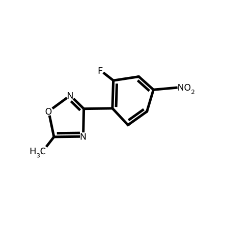 Cc1nc(-c2ccc([N+](=O)[O-])cc2F)no1